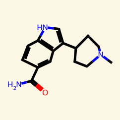 CN1CCC(c2c[nH]c3ccc(C(N)=O)cc23)CC1